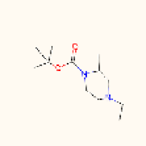 CCN1CCN(C(=O)OC(C)(C)C)C(C)C1